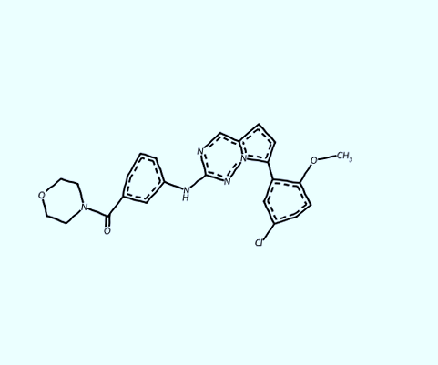 COc1ccc(Cl)cc1-c1ccc2cnc(Nc3cccc(C(=O)N4CCOCC4)c3)nn12